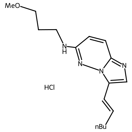 CCCCC=Cc1cnc2ccc(NCCCOC)nn12.Cl